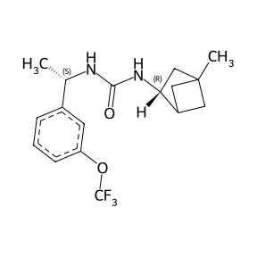 C[C@H](NC(=O)N[C@@H]1CC2(C)CC1C2)c1cccc(OC(F)(F)F)c1